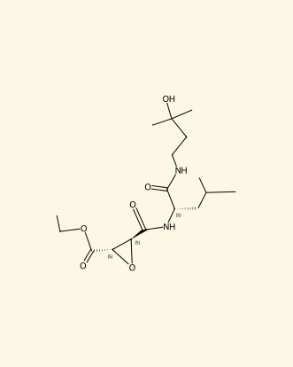 CCOC(=O)[C@H]1O[C@@H]1C(=O)N[C@@H](CC(C)C)C(=O)NCCC(C)(C)O